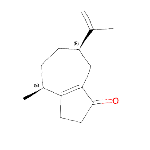 C=C(C)[C@@H]1CC[C@H](C)C2=C(C1)C(=O)CC2